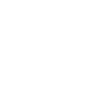 C=CN1CCCC1=O.CCCCCCCCCCC[CH2][Na].O=S(=O)(O)O